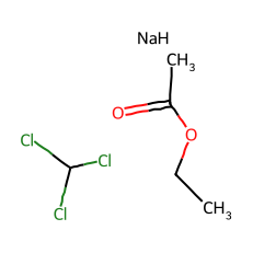 CCOC(C)=O.ClC(Cl)Cl.[NaH]